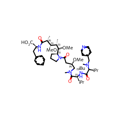 CC[C@H](C)C([C@@H](CC(=O)N1CCC[C@H]1[C@H](OC)[C@@H](C)[C@H](OC)[C@@H](C)C(=O)N[C@@H](Cc1ccccc1)C(=O)O)OC)N(C)C(=O)[C@@H](NC(=O)C(C(C)C)N(C)Cc1ccncc1)C(C)C